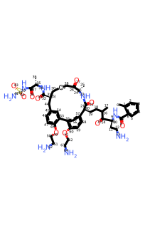 Cc1ccccc1C(=O)N[C@@H](CCN)C(=O)C(C)CC[C@@H]1C(=O)N[C@@H](C)C(=O)CCC[C@H](C(=O)N[C@@H](C)C(=O)NS(N)(=O)=O)Cc2ccc(OCCN)c(c2)-c2cc1ccc2OCCN